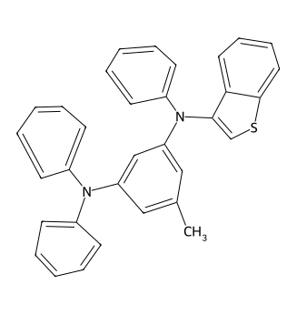 Cc1cc(N(c2ccccc2)c2ccccc2)cc(N(c2ccccc2)c2csc3ccccc23)c1